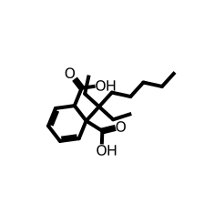 CCCCCC(CC)(CC)C1(C(=O)O)C=CC=CC1C(=O)O